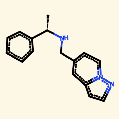 C[C@H](NCc1ccn2nccc2c1)c1ccccc1